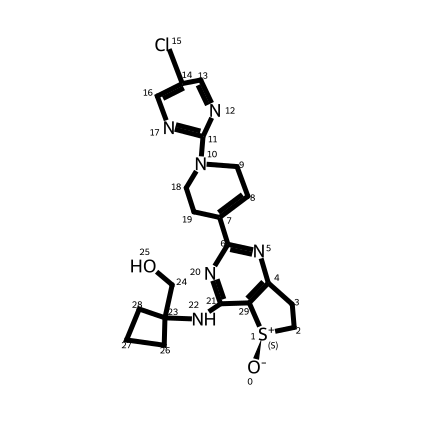 [O-][S@+]1CCc2nc(C3=CCN(c4ncc(Cl)cn4)CC3)nc(NC3(CO)CCC3)c21